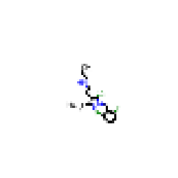 N#CCCNCCc1c(C(=O)O)nn(Cc2c(F)cccc2F)c1Cl